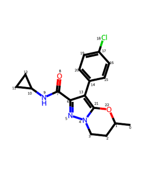 CC1CCn2nc(C(=O)NC3CC3)c(-c3ccc(Cl)cc3)c2O1